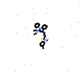 CCN(CC)C1=C/C(=C\C=C\c2sc3ccc(C)cc3[n+]2C)c2ccccc2N1c1ccccc1